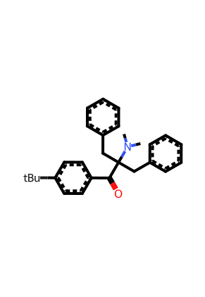 CN(C)C(Cc1ccccc1)(Cc1ccccc1)C(=O)c1ccc(C(C)(C)C)cc1